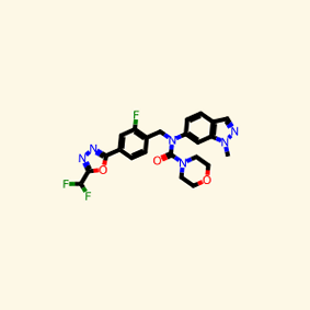 Cn1ncc2ccc(N(Cc3ccc(-c4nnc(C(F)F)o4)cc3F)C(=O)N3CCOCC3)cc21